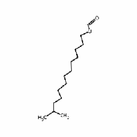 CC(C)CCCCCCCCCCCO[C]=O